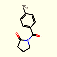 O=C1CCCN1C(=O)c1ccc([N+](=O)[O-])cc1